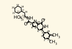 Cc1ccc(-c2cn3cc(C(=O)N[C@H](CO)CC4CCCCC4)nc3c(=O)[nH]2)cc1C